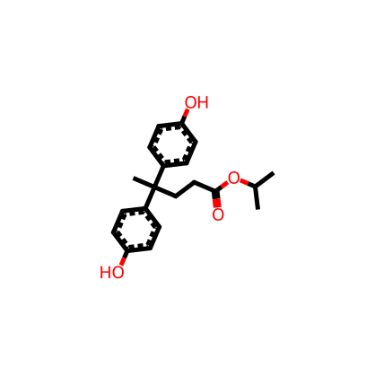 CC(C)OC(=O)CCC(C)(c1ccc(O)cc1)c1ccc(O)cc1